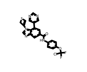 O=C(Nc1ccc(OC(F)(F)Cl)cc1)c1cc(-c2cncnc2)c2c(c1)ncn2C1=CSC1